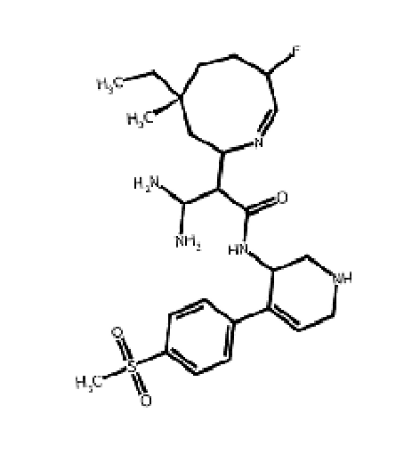 CC[C@]1(C)CCC(F)/C=N\C(C(C(=O)NC2CNCC=C2c2ccc(S(C)(=O)=O)cc2)C(N)N)C1